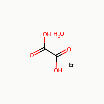 O.O=C(O)C(=O)O.[Er]